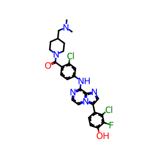 CN(C)CC1CCN(C(=O)c2ccc(Nc3nccn4c(-c5ccc(O)c(F)c5Cl)cnc34)cc2Cl)CC1